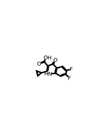 O=C(O)c1c(C2CC2)[nH]c2cc(F)c(F)cc2c1=O